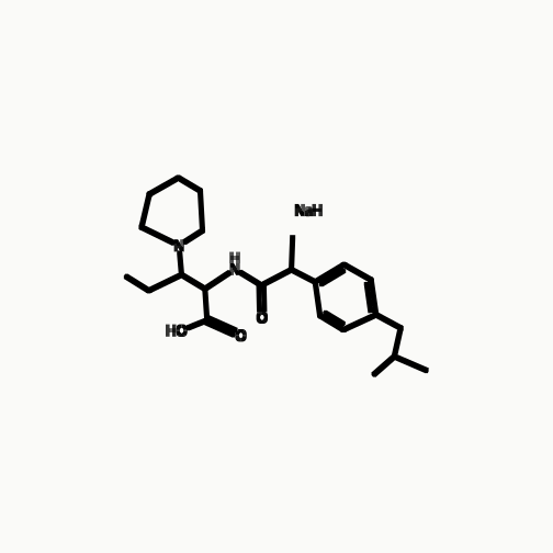 CCC(C(NC(=O)C(C)c1ccc(CC(C)C)cc1)C(=O)O)N1CCCCC1.[NaH]